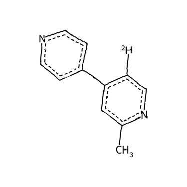 [2H]c1cnc(C)cc1-c1ccncc1